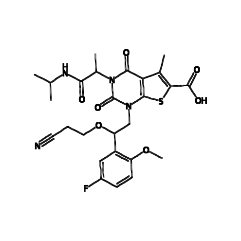 COc1ccc(F)cc1C(Cn1c(=O)n(C(C)C(=O)NC(C)C)c(=O)c2c(C)c(C(=O)O)sc21)OCCC#N